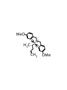 C=CC[C@H](C)S(=O)(=O)N(Cc1ccc(OC)cc1)Cc1ccc(OC)cc1